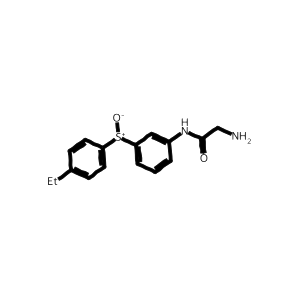 CCc1ccc([S+]([O-])c2cccc(NC(=O)CN)c2)cc1